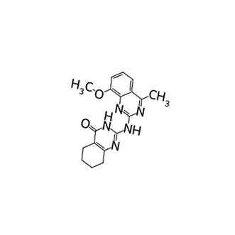 COc1cccc2c(C)nc(Nc3nc4c(c(=O)[nH]3)CCCC4)nc12